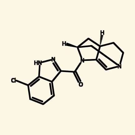 O=C(c1n[nH]c2c(Cl)cccc12)N1C2=CN3CC[C@@H]2C[C@@H]1C3